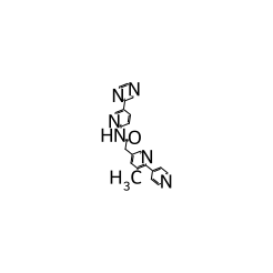 Cc1cc(CC(=O)Nc2ccc(-c3cnccn3)cn2)cnc1-c1ccncc1